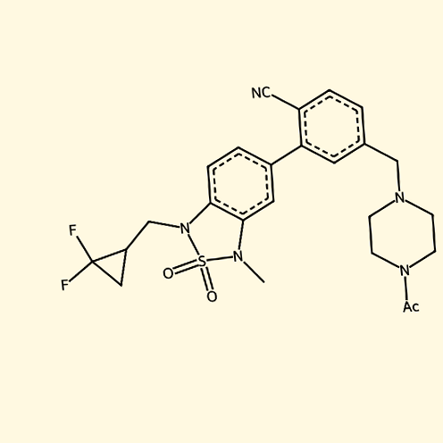 CC(=O)N1CCN(Cc2ccc(C#N)c(-c3ccc4c(c3)N(C)S(=O)(=O)N4CC3CC3(F)F)c2)CC1